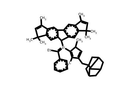 CC[C](c1ccccc1)=[Zr]([C]1=C(C)C(CC23CC4CC(CC(C4)C2)C3)=CC1C)[CH]1c2cc3c(cc2-c2cc4c(cc21)C(C)(C)C=C4C)C(C)=CC3(C)C